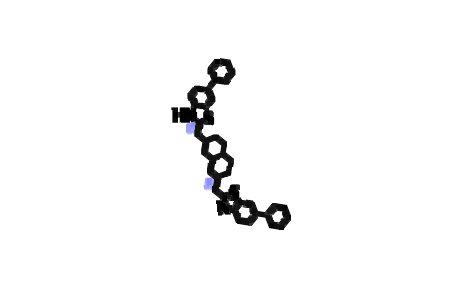 C1=C(/C=C2/Nc3ccc(-c4ccccc4)cc3S2)CCC2CC/C(=C\c3nc4ccc(-c5ccccc5)cc4s3)C=C12